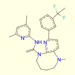 C=C(Nc1cc(C)cc(C)n1)N1CCCCN(C)c2ccc(-c3cccc(C(C)(F)F)c3)nc21